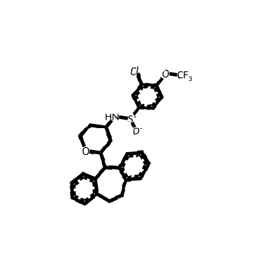 [O-][S+](NC1CCOC(C2c3ccccc3CCc3ccccc32)C1)c1ccc(OC(F)(F)F)c(Cl)c1